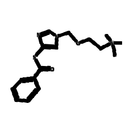 C[Si](C)(C)CCOCn1cnc(SC(=O)c2ccccc2)c1